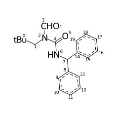 CC(C)(C)CN([C]=O)C(=O)NC(c1ccccc1)c1ccccc1